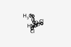 CN1CCCC(COc2ccc(C3c4[nH]c5ccc(Cl)cc5c4CCN3C(=O)OCc3ccccc3Cl)cc2)C1